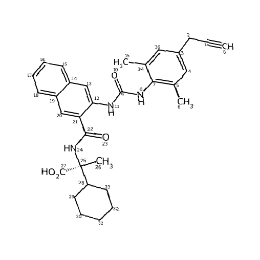 C#CCc1cc(C)c(NC(=O)Nc2cc3ccccc3cc2C(=O)N[C@](C)(C(=O)O)C2CCCCC2)c(C)c1